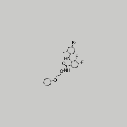 Cc1cc(Br)ccc1Nc1c(C(=O)NOCCOc2ccccc2)ccc(F)c1F